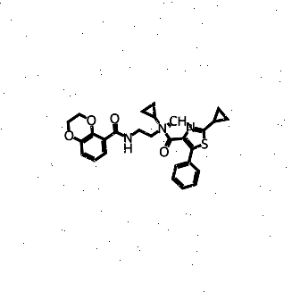 C[N+](CCNC(=O)c1cccc2c1OCCO2)(C(=O)c1nc(C2CC2)sc1-c1ccccc1)C1CC1